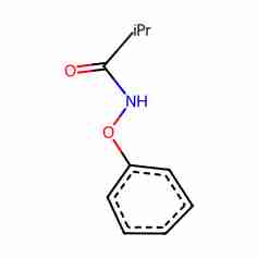 CC(C)C(=O)NOc1ccccc1